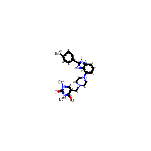 CCn1cc(CN2CCN(c3cccc4[nH]c(-c5ccc(C(C)(C)C)cc5)nc34)CC2)c(=O)n(CC)c1=O